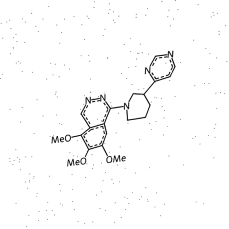 COc1cc2c(N3CCCC(c4ccncn4)C3)nncc2c(OC)c1OC